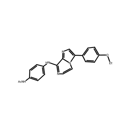 CCOc1ccc(-c2cnc3c(Nc4ccc(NC(C)=O)cc4)nccn23)cc1